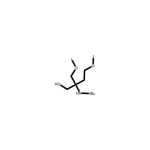 CC(C)(C)NC(CO)(CCOI)COI